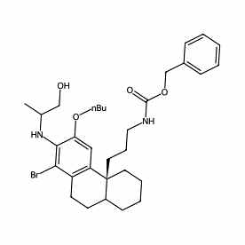 CCCCOc1cc2c(c(Br)c1NC(C)CO)CCC1CCCC[C@@]21CCCNC(=O)OCc1ccccc1